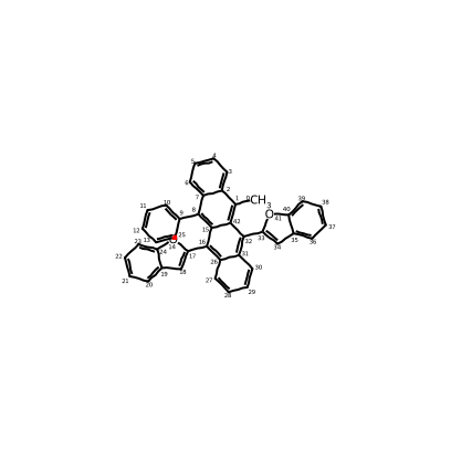 Cc1c2ccccc2c(-c2ccccc2)c2c(-c3cc4ccccc4o3)c3ccccc3c(-c3cc4ccccc4o3)c12